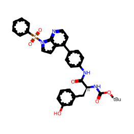 CC(C)(C)OC(=O)N[C@@H](Cc1cccc(O)c1)C(=O)Nc1ccc(-c2ccnc3c2ccn3S(=O)(=O)c2ccccc2)cc1